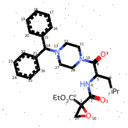 CCOC(=O)C1(C(=O)NC(CC(C)C)C(=O)N2CCN(C(c3ccccc3)c3ccccc3)CC2)CO1